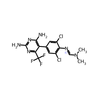 CN(C)/C=N/c1c(Cl)cc(-c2c(N)nc(N)nc2C(F)(F)F)cc1Cl